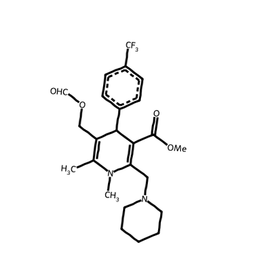 COC(=O)C1=C(CN2CCCCC2)N(C)C(C)=C(COC=O)C1c1ccc(C(F)(F)F)cc1